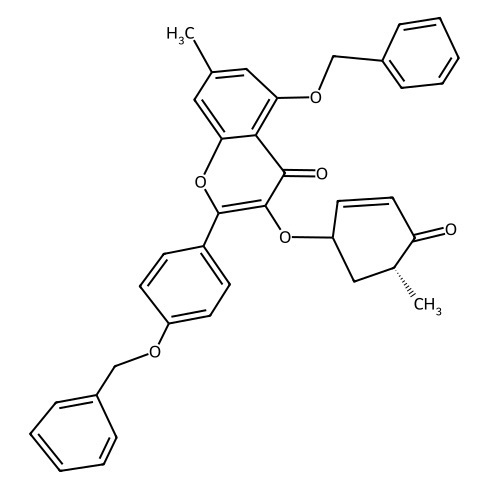 Cc1cc(OCc2ccccc2)c2c(=O)c(OC3C=CC(=O)[C@H](C)C3)c(-c3ccc(OCc4ccccc4)cc3)oc2c1